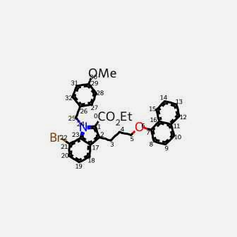 CCOC(=O)c1c(CCCOc2cccc3ccccc23)c2cccc(Br)c2n1Cc1ccc(OC)cc1